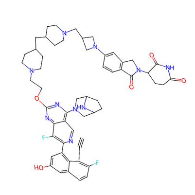 C#Cc1c(F)ccc2cc(O)cc(-c3ncc4c(N5CC6CCC(C5)N6)nc(OCCN5CCC(CC6CCN(CC7CN(c8ccc9c(c8)CN(C8CCC(=O)NC8=O)C9=O)C7)CC6)CC5)nc4c3F)c12